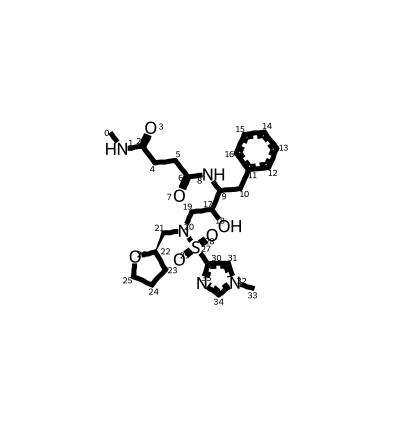 CNC(=O)CCC(=O)NC(Cc1ccccc1)C(O)CN(C[C@H]1CCCO1)S(=O)(=O)c1cn(C)cn1